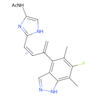 C=C(/C=C\c1nc(NC(C)=O)c[nH]1)c1c(C)c(F)c(C)c2[nH]ncc12